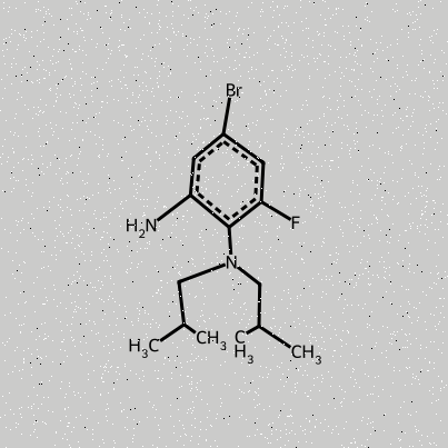 CC(C)CN(CC(C)C)c1c(N)cc(Br)cc1F